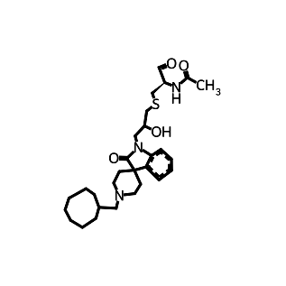 CC(=O)N[C@H](C=O)CSCC(O)CN1C(=O)C2(CCN(CC3CCCCCCC3)CC2)c2ccccc21